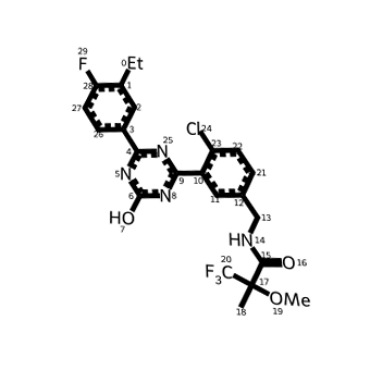 CCc1cc(-c2nc(O)nc(-c3cc(CNC(=O)C(C)(OC)C(F)(F)F)ccc3Cl)n2)ccc1F